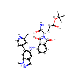 Cc1cc(-c2cc3c(cnn3C)cc2Nc2cccc3c2C(=O)N([C@@H](CCC(=O)OC(C)(C)C)C(N)=O)C3=O)ccn1